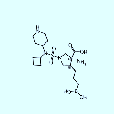 N[C@@]1(C(=O)O)CN(S(=O)(=O)N(C2CCC2)C2CCNCC2)C[C@@H]1CCCB(O)O